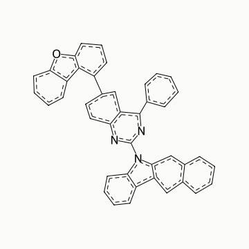 c1ccc(-c2nc(-n3c4ccccc4c4cc5ccccc5cc43)nc3ccc(-c4cccc5oc6ccccc6c45)cc23)cc1